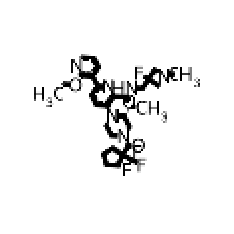 CCOc1ncccc1-c1ccc(N2CCN(C(=O)C3(C(F)(F)F)CCCC3)C[C@H]2CC)c(C(=O)NCC2(F)CN(C)C2)n1